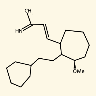 CO[C@@H]1CCCCC(/C=C/C(C)=N)C1CCC1CCCCC1